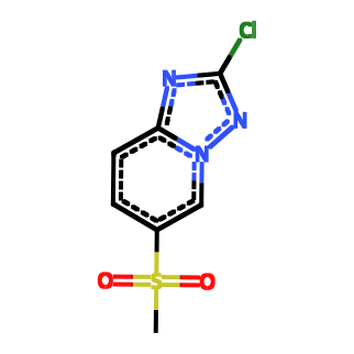 CS(=O)(=O)c1ccc2nc(Cl)nn2c1